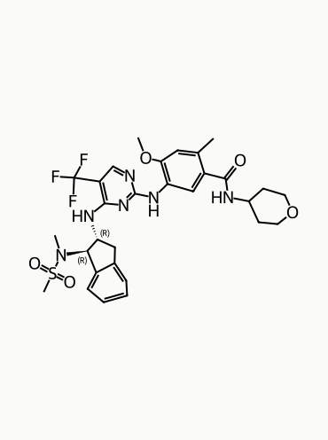 COc1cc(C)c(C(=O)NC2CCOCC2)cc1Nc1ncc(C(F)(F)F)c(N[C@@H]2Cc3ccccc3[C@H]2N(C)S(C)(=O)=O)n1